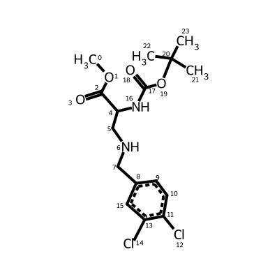 COC(=O)C(CNCc1ccc(Cl)c(Cl)c1)NC(=O)OC(C)(C)C